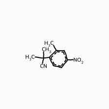 Cc1cc([N+](=O)[O-])ccc1C(C)(C)C#N